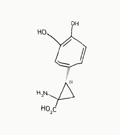 NC1(C(=O)O)C[C@H]1c1ccc(O)c(O)c1